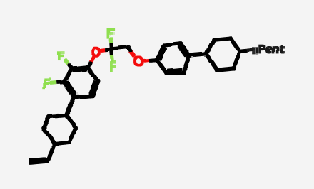 C=CC1CCC(c2ccc(OC(F)(F)COc3ccc(C4CCC(CCCCC)CC4)cc3)c(F)c2F)CC1